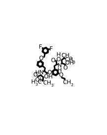 C=CCOc1cccc(CC(NC(CC(C)C)C(=O)O)C(=O)O)c1.CC(C)CC(NC(Cc1cccc(OCc2cc(F)cc(F)c2)c1)C(=O)O)C(=O)O